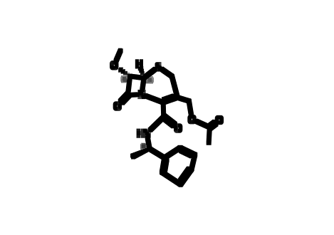 CO[C@H]1C(=O)N2C(C(=O)N[C@H](C)c3ccccc3)=C(COC(C)=O)CS[C@H]12